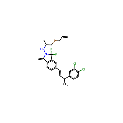 C=CCSCC(C)NN1C(=C)c2ccc(/C=C/C(c3ccc(Cl)c(Cl)c3)C(F)(F)F)cc2C1(F)F